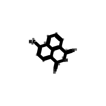 Cc1ccc2c3c(cccc13)C(=O)NC2=O